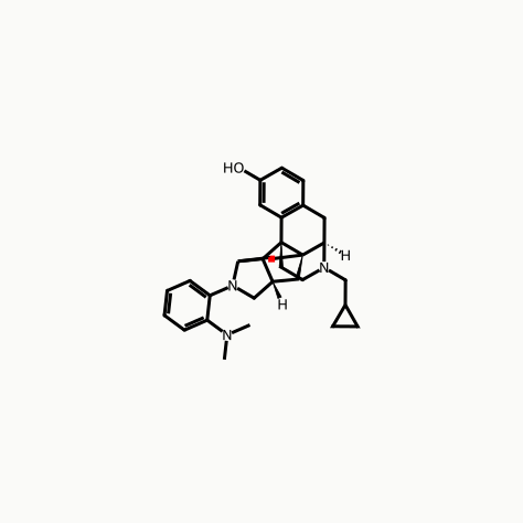 CN(C)c1ccccc1N1C[C@H]2C[C@@]34CCC1C2[C@@]31CCN(CC2CC2)[C@@H]4Cc2ccc(O)cc21